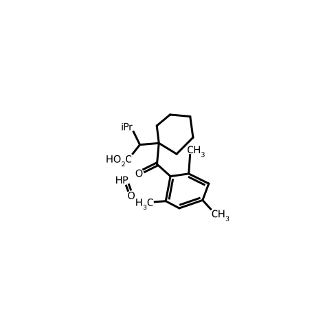 Cc1cc(C)c(C(=O)C2(C(C(=O)O)C(C)C)CCCCC2)c(C)c1.O=P